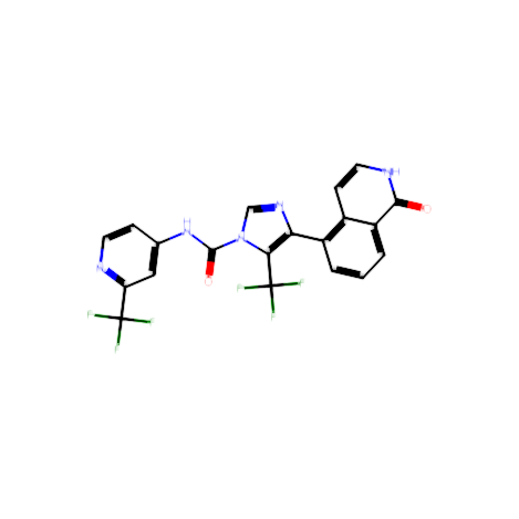 O=C(Nc1ccnc(C(F)(F)F)c1)n1cnc(-c2cccc3c(=O)[nH]ccc23)c1C(F)(F)F